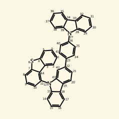 c1ccc2c(c1)sc1cccc(-n3c4ccccc4c4ccc(-c5ccc(-n6c7ccccc7c7ccccc76)cc5)cc43)c12